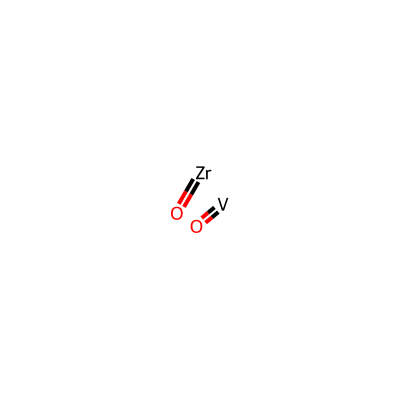 [O]=[V].[O]=[Zr]